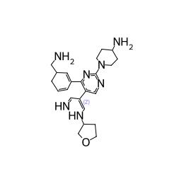 N=C/C(=C\NC1CCOC1)c1cnc(N2CCC(N)CC2)nc1C1=CC(CN)CC=C1